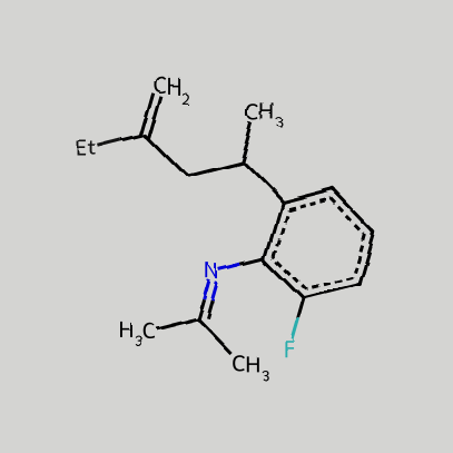 C=C(CC)CC(C)c1cccc(F)c1N=C(C)C